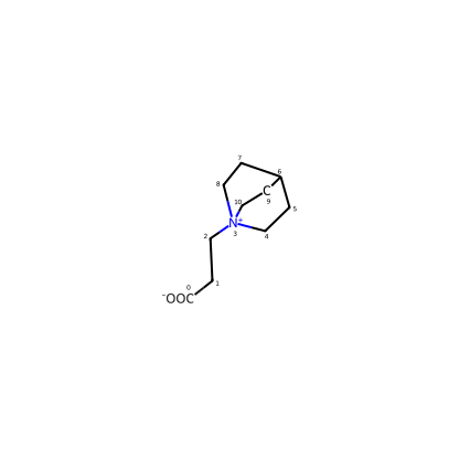 O=C([O-])CC[N+]12CCC(CC1)CC2